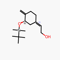 C=C1CC/C(=C/CO)C[C@H]1O[Si](C)(C)C(C)(C)C